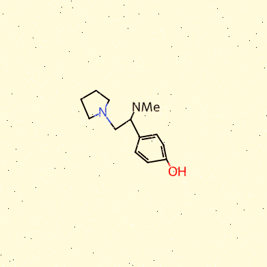 CNC(CN1CCCC1)c1ccc(O)cc1